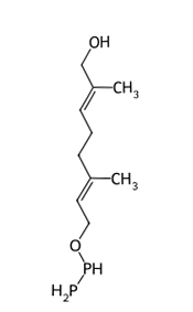 C/C(=C\CC/C(C)=C/COPP)CO